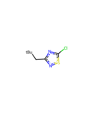 CC(C)(C)Cc1nsc(Cl)n1